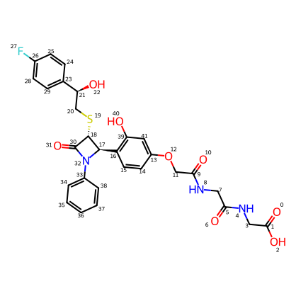 O=C(O)CNC(=O)CNC(=O)COc1ccc([C@@H]2[C@@H](SC[C@H](O)c3ccc(F)cc3)C(=O)N2c2ccccc2)c(O)c1